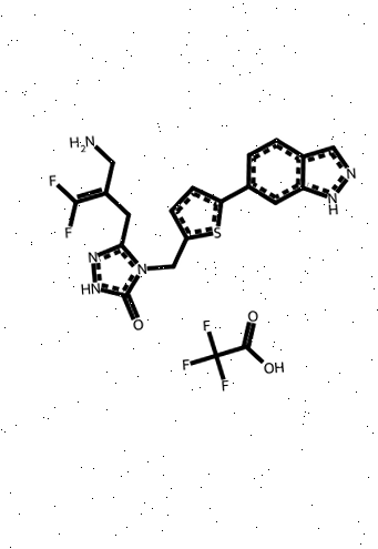 NCC(Cc1n[nH]c(=O)n1Cc1ccc(-c2ccc3cn[nH]c3c2)s1)=C(F)F.O=C(O)C(F)(F)F